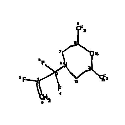 C=C(F)C(F)(F)N1CC(C(F)(F)F)OC(C(F)(F)F)C1